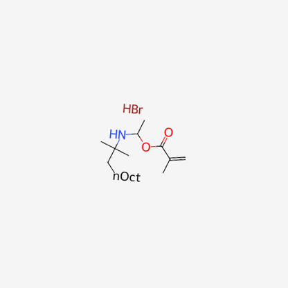 Br.C=C(C)C(=O)OC(C)NC(C)(C)CCCCCCCCC